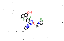 Oc1cc(-c2ccc3c(N4CC5CCC(C4)N5)nc(OCC4(CN5CCCC(F)(F)C5)CC4)nc3c2F)c2c(F)c(F)ccc2c1